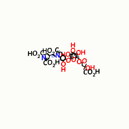 CC(O)(CC(=O)O)CC(=O)OC[C@H]1O[C@@H](Oc2cc3c(cc2O)N(/C=C/C2=CC(C(=O)O)=N[C@H](C(=O)O)C2)[C@H](C(=O)O)C3)[C@H](O)[C@@H](O)[C@@H]1O